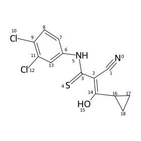 N#C/C(C(=S)Nc1ccc(Cl)c(Cl)c1)=C(/O)C1CC1